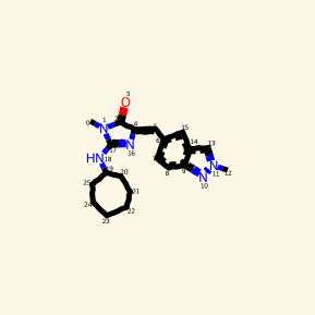 CN1C(=O)/C(=C/c2ccc3nn(C)cc3c2)N=C1NC1CCCCCC1